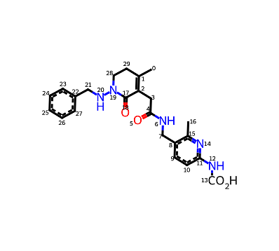 CC1=C(CC(=O)NCc2ccc(NC(=O)O)nc2C)C(=O)N(NCc2ccccc2)CC1